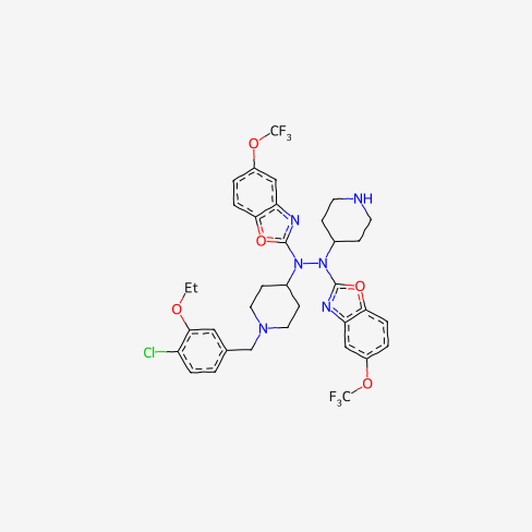 CCOc1cc(CN2CCC(N(c3nc4cc(OC(F)(F)F)ccc4o3)N(c3nc4cc(OC(F)(F)F)ccc4o3)C3CCNCC3)CC2)ccc1Cl